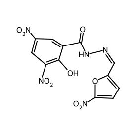 O=C(N/N=C\c1ccc([N+](=O)[O-])o1)c1cc([N+](=O)[O-])cc([N+](=O)[O-])c1O